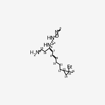 C=NONSN/C(=C/C=CCCCC1CC1(C)CC)CCN